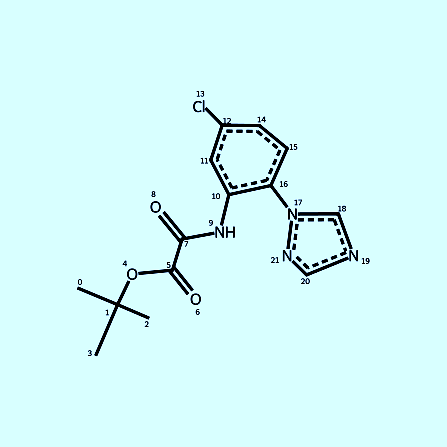 CC(C)(C)OC(=O)C(=O)Nc1cc(Cl)ccc1-n1cncn1